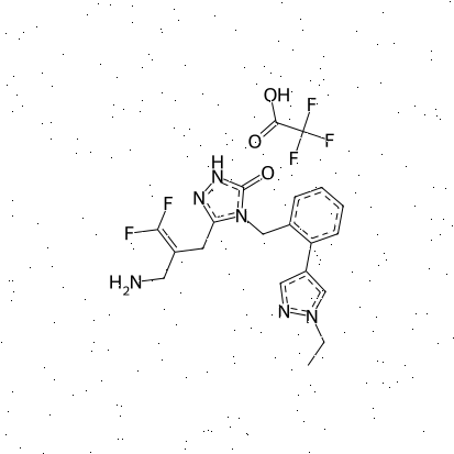 CCn1cc(-c2ccccc2Cn2c(CC(CN)=C(F)F)n[nH]c2=O)cn1.O=C(O)C(F)(F)F